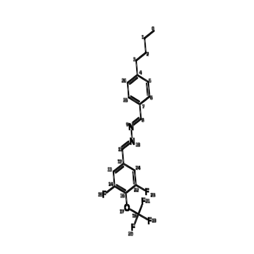 CCCCc1ccc(C=NN=Cc2cc(F)c(OC(F)(F)F)c(F)c2)cc1